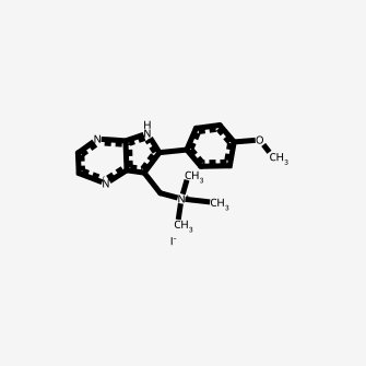 COc1ccc(-c2[nH]c3nccnc3c2C[N+](C)(C)C)cc1.[I-]